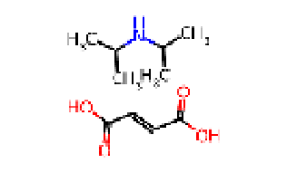 CC(C)NC(C)C.O=C(O)/C=C/C(=O)O